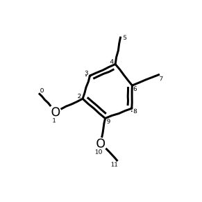 COc1[c]c(C)c(C)[c]c1OC